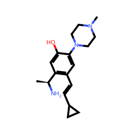 C[C@H](N)c1cc(O)c(N2CCN(C)CC2)cc1/C=C/C1CC1